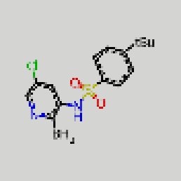 Bc1ncc(Cl)cc1NS(=O)(=O)c1ccc(C(C)(C)C)cc1